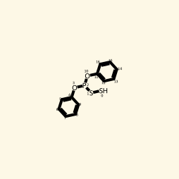 SSP(Oc1ccccc1)Oc1ccccc1